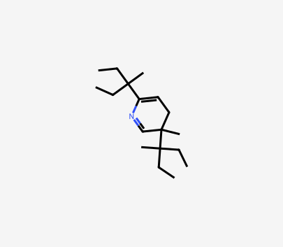 CCC(C)(CC)C1=CCC(C)(C(C)(CC)CC)C=N1